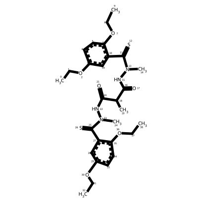 CCOc1ccc(OCC)c(C(=S)N(C)NC(=O)C(C)C(=O)NN(C)C(=S)c2cc(OCC)ccc2OCC)c1